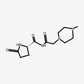 CN1CCN(CC(=O)NC(=O)[C@@H]2CCC(=O)N2)CC1